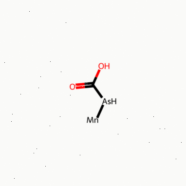 O=C(O)[AsH][Mn]